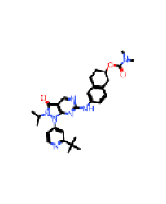 CC(C)n1c(=O)c2cnc(Nc3ccc4c(c3)CCC(OC(=O)N(C)C)C4)nc2n1-c1ccnc(C(C)(C)C)c1